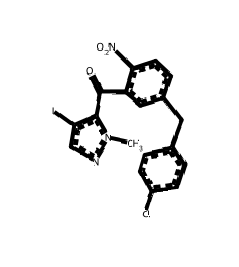 Cn1ncc(I)c1C(=O)c1cc(Cc2ccc(Cl)cc2)ccc1[N+](=O)[O-]